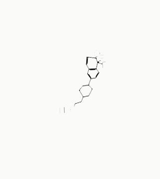 CCCC1CCC(c2ccc3c(c2)C=CC(=O)C3(F)F)CC1